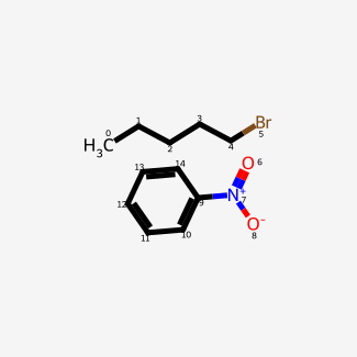 CCCCCBr.O=[N+]([O-])c1ccccc1